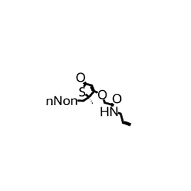 C=CCNC(=O)COC1=CC(=O)S[C@]1(C)CCCCCCCCCC